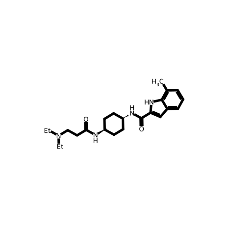 CCN(CC)CCC(=O)N[C@H]1CC[C@H](NC(=O)c2cc3cccc(C)c3[nH]2)CC1